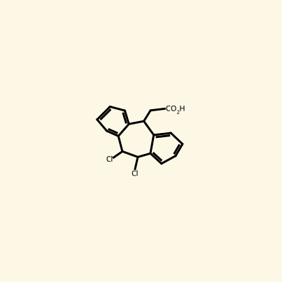 O=C(O)CC1c2ccccc2C(Cl)C(Cl)c2ccccc21